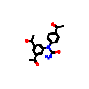 CC(=O)c1ccc(N(C(N)=O)c2cc(C(C)=O)cc(C(C)=O)c2)cc1